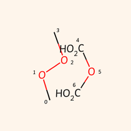 COOC.O=C(O)OC(=O)O